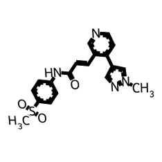 Cn1cc(-c2ccncc2C=CC(=O)Nc2ccc(S(C)(=O)=O)cc2)cn1